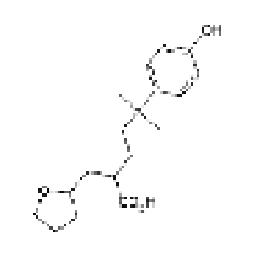 CC(C)(CCC(CC1CCCO1)C(=O)O)c1ccc(O)cc1